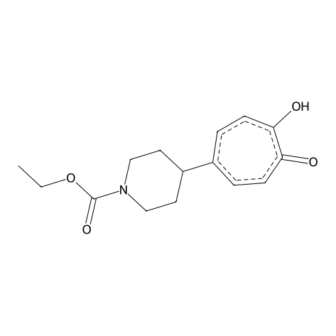 CCOC(=O)N1CCC(c2ccc(O)c(=O)cc2)CC1